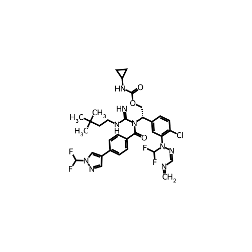 C=N/C=N\N(c1cc([C@@H](COC(=O)NC2CC2)N(C(=N)NCCC(C)(C)C)C(=O)c2ccc(-c3cnn(C(F)F)c3)cc2)ccc1Cl)C(F)F